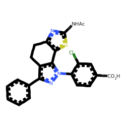 CC(=O)Nc1nc2c(s1)-c1c(c(-c3ccccc3)nn1-c1ccc(C(=O)O)cc1Cl)CC2